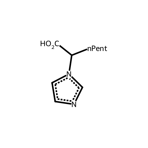 CCCCCC(C(=O)O)n1ccnc1